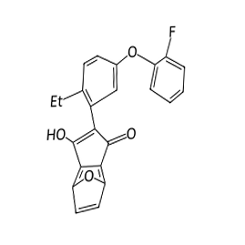 CCc1ccc(Oc2ccccc2F)cc1C1=C(O)c2c(c3ccc2o3)C1=O